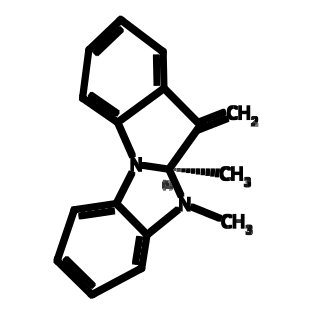 C=C1c2ccccc2N2c3ccccc3N(C)[C@]12C